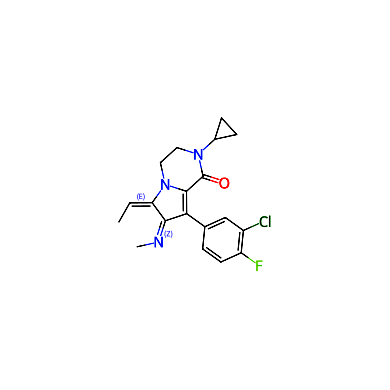 C/C=C1\C(=N/C)C(c2ccc(F)c(Cl)c2)=C2C(=O)N(C3CC3)CCN21